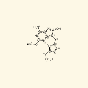 CCCCOc1nc(N)c2nc(O)n(Cc3ccc(CC(=O)O)o3)c2n1